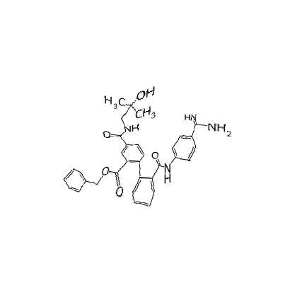 CC(C)(O)CNC(=O)c1ccc(-c2ccccc2C(=O)Nc2ccc(C(=N)N)cc2)c(C(=O)OCc2ccccc2)c1